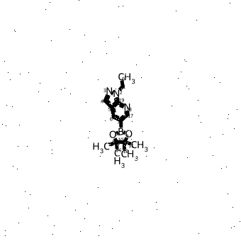 CCn1ncc2cc(B3OC(C)(C)C(C)(C)O3)cnc21